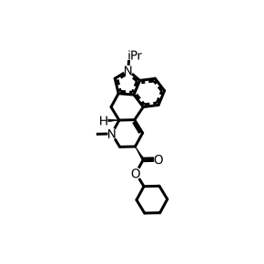 CC(C)n1cc2c3c(cccc31)C1=C[C@@H](C(=O)OC3CCCCC3)CN(C)[C@@H]1C2